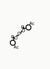 CC(=O)C1CCCCC(C(=O)OCCOCCOC(=O)C2CCCCC(C(C)=O)CC2)CC1